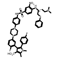 Cc1c(C(=O)O)c(-c2cc(N3CCN(c4ccc(NS(=O)(=O)c5ccc(N[C@H](CCN(C)C)CSc6ccccc6)c([N+](=O)[O-])c5)cc4)CC3)ccc2F)c(-c2ccc(F)cc2)n1C